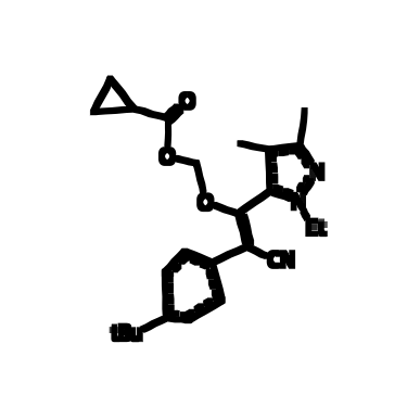 CCn1nc(C)c(C)c1/C(OCOC(=O)C1CC1)=C(\C#N)c1ccc(C(C)(C)C)cc1